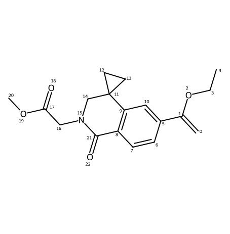 C=C(OCC)c1ccc2c(c1)C1(CC1)CN(CC(=O)OC)C2=O